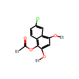 CCOc1cc(OCC)c2cc(Cl)ccc2c1OC(=O)CC